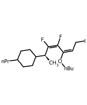 CCCCOC(=C/CI)/C(F)=C(/F)[C@@H](C)C1CCC(CCC)CC1